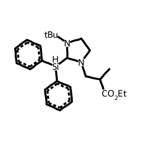 CCOC(=O)C(C)CN1CCN(C(C)(C)C)C1[SiH](c1ccccc1)c1ccccc1